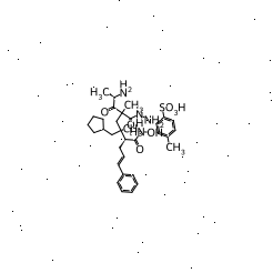 C[C@@H](N)C(=O)C(C)(C[C@@](C)(CC1CCCC1)[C@H](C/C=C/c1ccccc1)C(=O)NO)C(=O)NN.Cc1ccc(S(=O)(=O)O)cc1